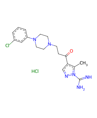 Cc1c(C(=O)CCN2CCN(c3cccc(Cl)c3)CC2)cnn1C(=N)N.Cl